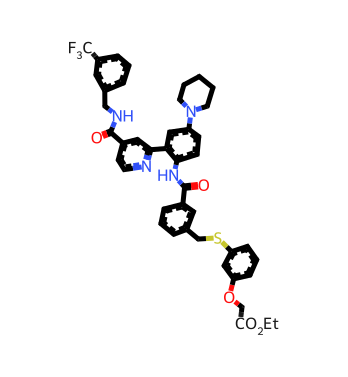 CCOC(=O)COc1cccc(SCc2cccc(C(=O)Nc3ccc(N4CCCCC4)cc3-c3cc(C(=O)NCc4cccc(C(F)(F)F)c4)ccn3)c2)c1